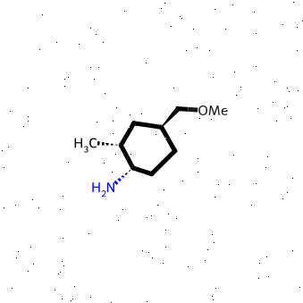 COC[C@H]1CC[C@H](N)[C@H](C)C1